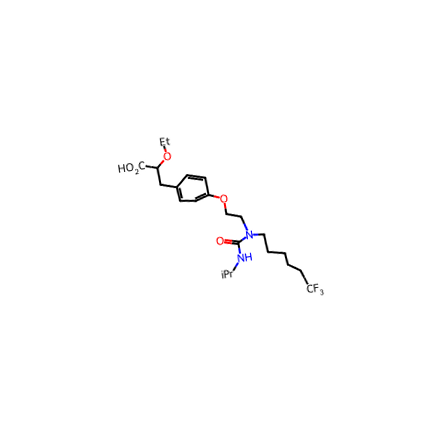 CCOC(Cc1ccc(OCCN(CCCCCC(F)(F)F)C(=O)NC(C)C)cc1)C(=O)O